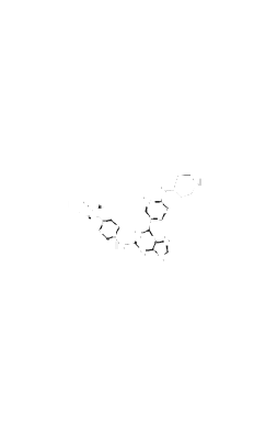 NS(=O)(=O)c1ccc(Nc2nc(-c3ccc(NC4CCNCC4)nc3)c3nc[nH]c3n2)cc1